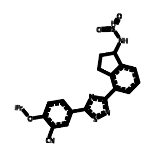 CC(C)Oc1ccc(-c2nc(-c3cccc4c3CCC4N[SH](=O)=O)ns2)cc1C#N